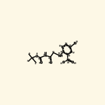 CC(C)(C)OC(=O)NC(=O)CNc1ncc(Br)cc1[N+](=O)[O-]